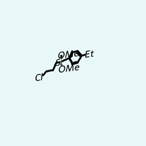 CCc1ccc([Si](CCCCl)(OC)OC)cc1